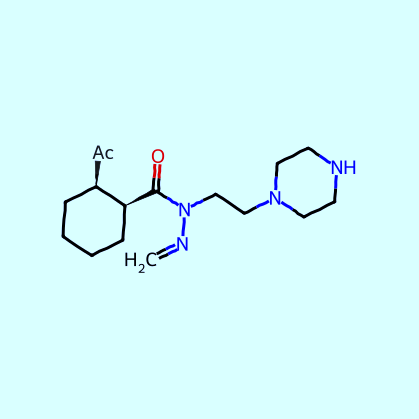 C=NN(CCN1CCNCC1)C(=O)[C@H]1CCCC[C@H]1C(C)=O